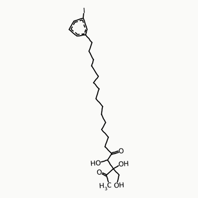 CC(=O)C(O)(CO)C(O)C(=O)CCCCCCCCCCCCCCc1cccc(I)c1